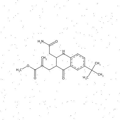 C=C(CC1C(=O)c2cc(C(C)(C)C)ccc2NC1CC(N)=O)C(=O)OC